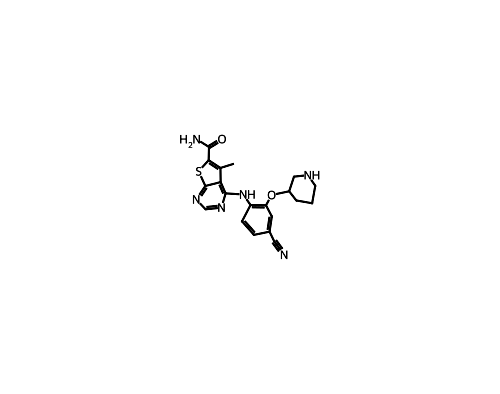 Cc1c(C(N)=O)sc2ncnc(Nc3ccc(C#N)cc3OC3CCCNC3)c12